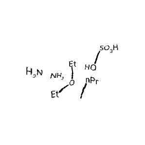 CCCC.CCOCC.N.N.O=S(=O)(O)O